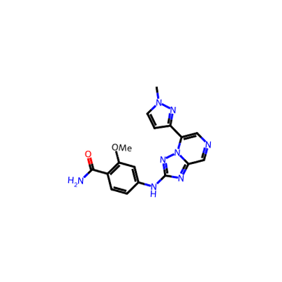 COc1cc(Nc2nc3cncc(-c4ccn(C)n4)n3n2)ccc1C(N)=O